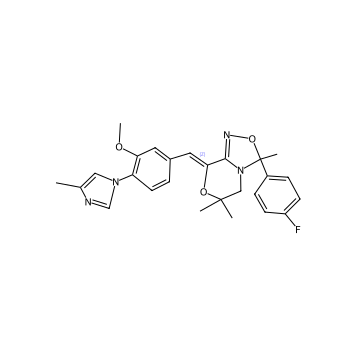 COc1cc(/C=C2\OC(C)(C)CN3C2=NOC3(C)c2ccc(F)cc2)ccc1-n1cnc(C)c1